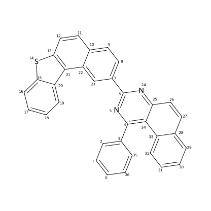 c1ccc(-c2nc(-c3ccc4ccc5sc6ccccc6c5c4c3)nc3ccc4ccccc4c23)cc1